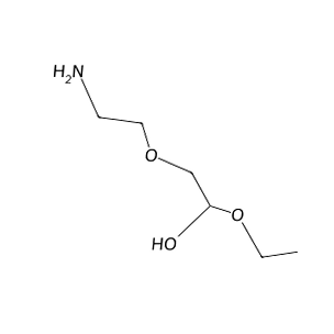 CCOC(O)COCCN